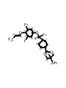 CCCC12COC(c3ccc(C(F)(F)Oc4cc(F)c(O/C=C/C(F)(F)F)c(F)c4)cc3)(OC1)OC2